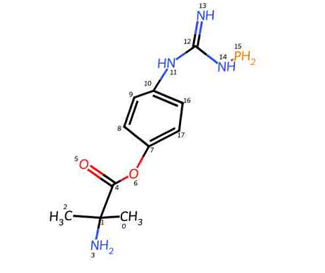 CC(C)(N)C(=O)Oc1ccc(NC(=N)NP)cc1